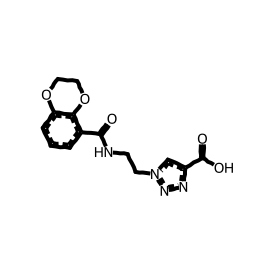 O=C(O)c1cn(CCNC(=O)c2cccc3c2OCCO3)nn1